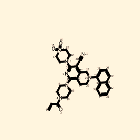 C=CC(=O)N1CCN(c2nc(N3CCS(=O)(=O)CC3)c(C#N)c3c2CCN(c2cccc4ccccc24)C3)CC1